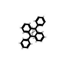 c1ccc(C23OOC(c4ccccc4)(c4ccccc42)c2ccccc23)cc1